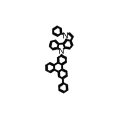 c1ccc(-c2ccc3c4ccc(-n5c6ccccc6c6c7c(ccc65)ccn7-c5ccccc5)cc4c4ccccc4c3c2)cc1